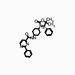 CC1(C)OC(=O)N(C2CCC(NC(=O)c3ccnc(-c4ccccc4)n3)CC2)[C@H]1c1ccccc1